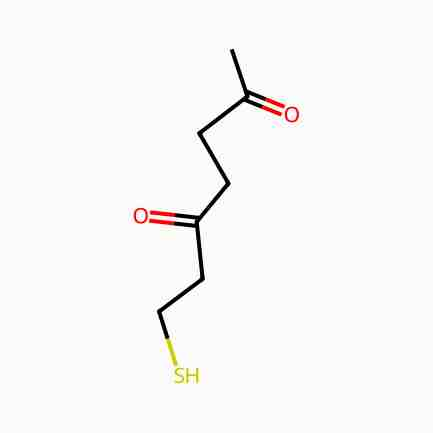 CC(=O)CCC(=O)CCS